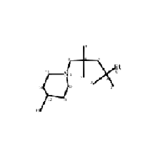 CCC(C)(C)CC(C)(C)CN1CCC(C)CC1